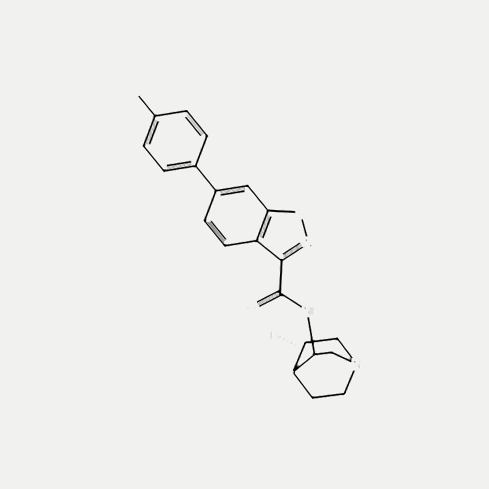 O=C(N[C@H]1CN2CCC1CC2)c1nsc2cc(-c3ccc(F)cc3)ccc12